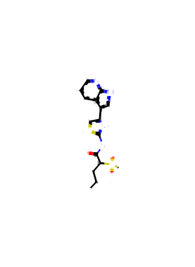 CCCC(C(=O)Nc1nc(-c2c[nH]c3ncccc23)cs1)S(C)(=O)=O